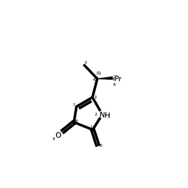 C=C1NC([C@@H](C)C(C)C)=CC1=O